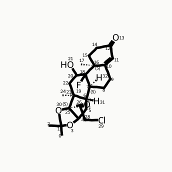 CC1(C)OC2C[C@H]3[C@@H]4CCC5=CC(=O)CC[C@]5(C)C4(F)C(O)C[C@]3(C)[C@]2(C(=O)CCl)O1